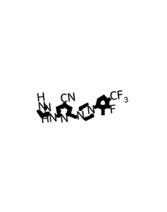 Cc1c(N2CCN(Cc3cc(C#N)cc(Nc4cc[nH]n4)n3)CC2)ccc(C(F)(F)F)c1F